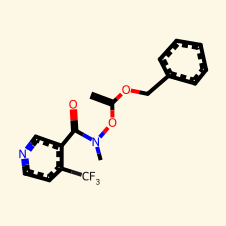 C=C(OCc1ccccc1)ON(C)C(=O)c1cnccc1C(F)(F)F